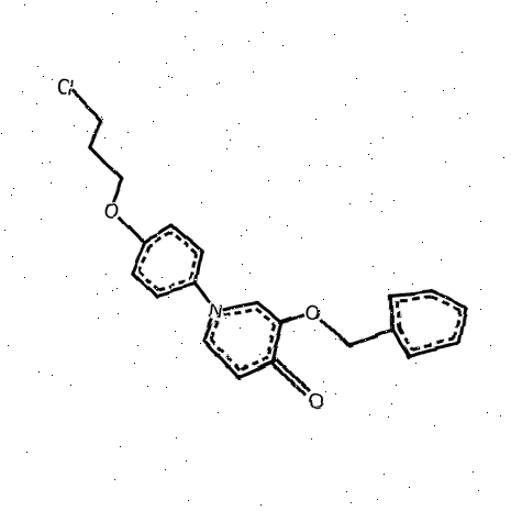 O=c1ccn(-c2ccc(OCCCCl)cc2)cc1OCc1ccccc1